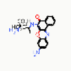 C[C@H](N)C(=O)O.NCC(=O)O.Nc1ccc2nc3c4ccccc4c(=O)cc-3oc2c1